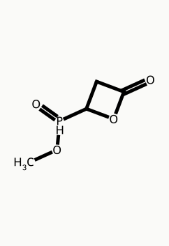 CO[PH](=O)C1CC(=O)O1